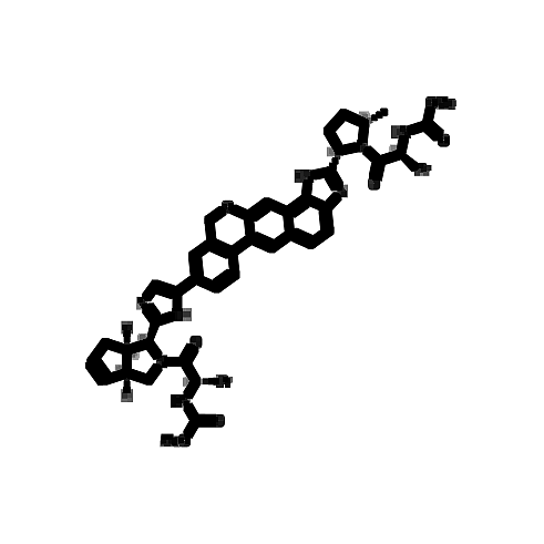 COC(=O)N[C@H](C(=O)N1C[C@H]2C#CC[C@H]2[C@H]1c1ncc(-c2ccc3c(c2)COc2cc4c(ccc5nc([C@@H]6CC[C@H](C)N6C(=O)[C@@H](NC(=O)OC)C(C)C)[nH]c54)cc2-3)[nH]1)C(C)C